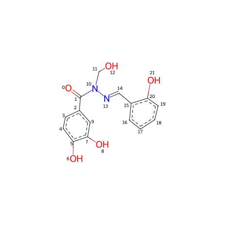 O=C(c1ccc(O)c(O)c1)N(CO)N=Cc1ccccc1O